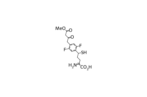 COC(=O)CC(=O)Cc1cc(F)c(C(S)CC[C@H](N)C(=O)O)cc1F